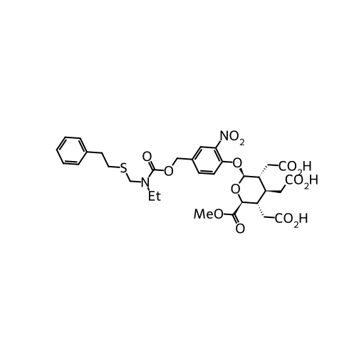 CCN(CSCCc1ccccc1)C(=O)OCc1ccc(O[C@@H]2O[C@H](C(=O)OC)[C@@H](CC(=O)O)[C@H](CC(=O)O)[C@H]2CC(=O)O)c([N+](=O)[O-])c1